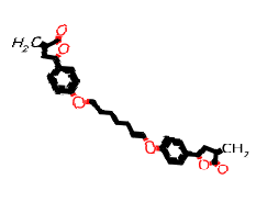 C=C1CC(c2ccc(OCCCCCCCOc3ccc(C4CC(=C)C(=O)O4)cc3)cc2)OC1=O